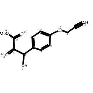 C#CCOc1ccc(C(O)C(=C)C(=O)OC)cc1